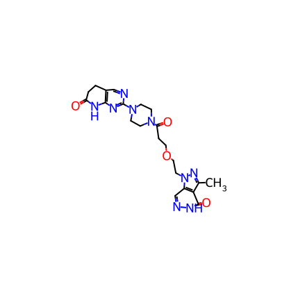 Cc1nn(CCOCCC(=O)N2CCN(c3ncc4c(n3)NC(=O)CC4)CC2)c2cn[nH]c(=O)c12